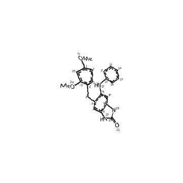 COc1ccc(Cc2cc3c(cc2Nc2ccccc2)[N]C(=O)N3)c(OC)c1